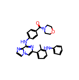 Cc1c(Nc2ccccc2)cccc1-c1cn2ccnc2c(Nc2ccc(C(=O)N3CCOCC3)cc2)n1